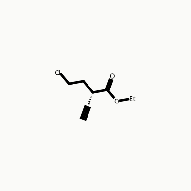 C#C[C@H](CCCl)C(=O)OCC